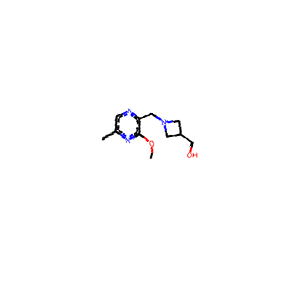 COc1nc(C)cnc1CN1CC(CO)C1